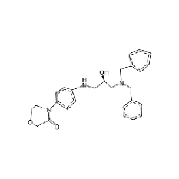 O=C1COCCN1c1ccc(NC[C@@H](O)CN(Cc2ccccc2)Cc2ccccc2)cc1